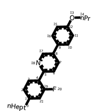 CCCCCCCc1ccc(-c2ccc(-c3ccc(OCCC)cc3)cn2)c(F)c1